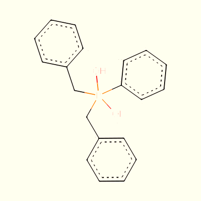 OP(O)(Cc1ccccc1)(Cc1ccccc1)c1ccccc1